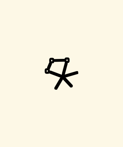 CI1(C)(C)OOO1